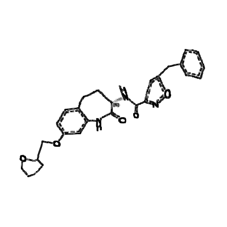 O=C(N[C@H]1CCc2ccc(OCC3CCCO3)cc2NC1=O)c1cc(Cc2ccccc2)on1